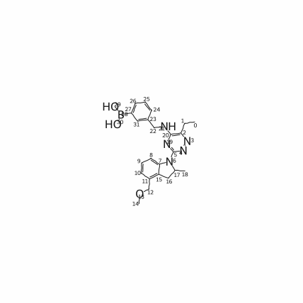 CCc1nnc(N2c3cccc(COC)c3CC2C)nc1NCc1cccc(B(O)O)c1